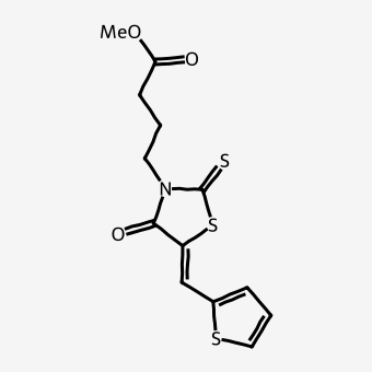 COC(=O)CCCN1C(=O)/C(=C/c2cccs2)SC1=S